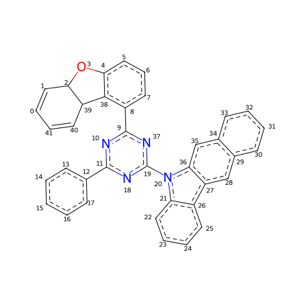 C1=CC2Oc3cccc(-c4nc(-c5ccccc5)nc(-n5c6ccccc6c6cc7ccccc7cc65)n4)c3C2C=C1